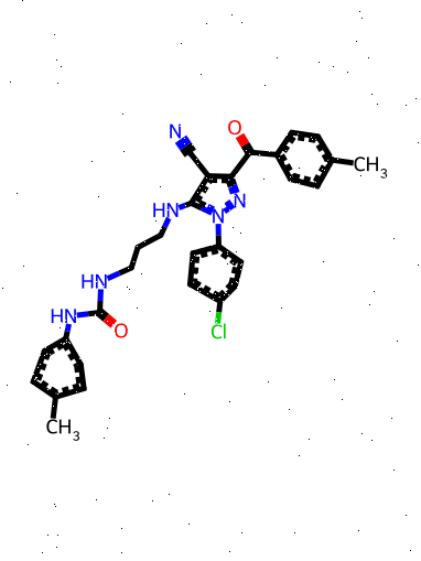 Cc1ccc(NC(=O)NCCCNc2c(C#N)c(C(=O)c3ccc(C)cc3)nn2-c2ccc(Cl)cc2)cc1